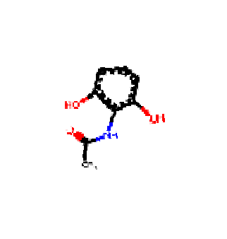 O=C(Nc1c(O)cccc1O)C(F)(F)F